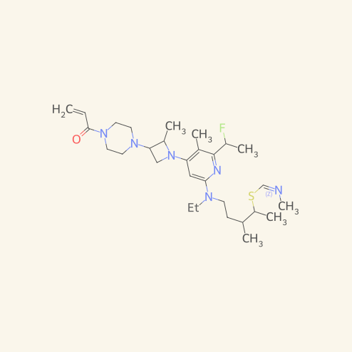 C=CC(=O)N1CCN(C2CN(c3cc(N(CC)CCC(C)C(C)S/C=N\C)nc(C(C)F)c3C)C2C)CC1